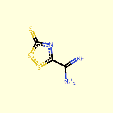 N=C(N)c1nc(=S)ss1